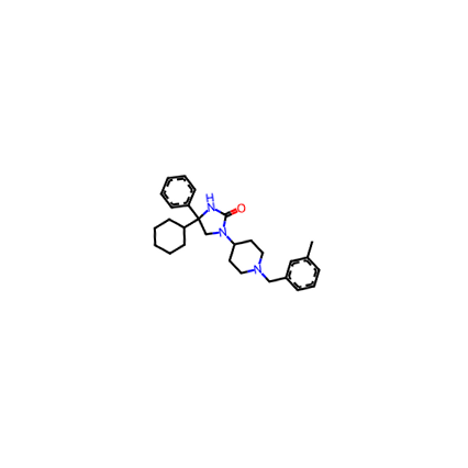 Cc1cccc(CN2CCC(N3CC(c4ccccc4)(C4CCCCC4)NC3=O)CC2)c1